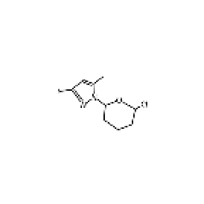 Cc1cc(I)nn1C1CCCC(Cl)O1